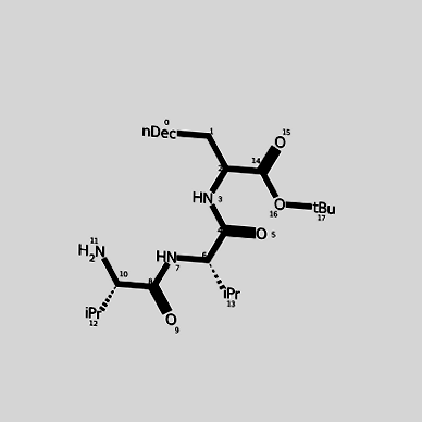 CCCCCCCCCCCC(NC(=O)[C@@H](NC(=O)[C@@H](N)C(C)C)C(C)C)C(=O)OC(C)(C)C